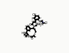 CC1CCCC(n2cnc(-c3c(N/C=C(\N)Cl)ccc(Cl)c3F)cc2=O)c2cccc(c2)-c2[nH]ncc2NC1=O